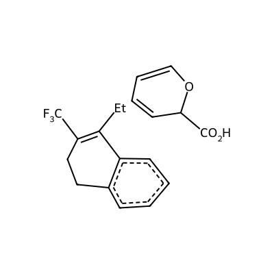 CCC1=C(C(F)(F)F)CCc2ccccc21.O=C(O)C1C=CC=CO1